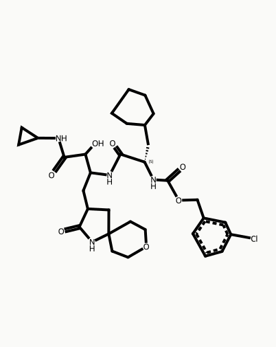 O=C(N[C@@H](CC1CCCCC1)C(=O)NC(CC1CC2(CCOCC2)NC1=O)C(O)C(=O)NC1CC1)OCc1cccc(Cl)c1